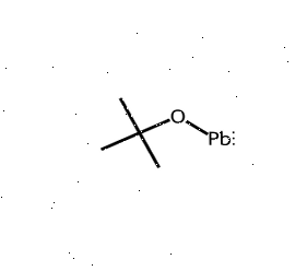 CC(C)(C)[O][Pb]